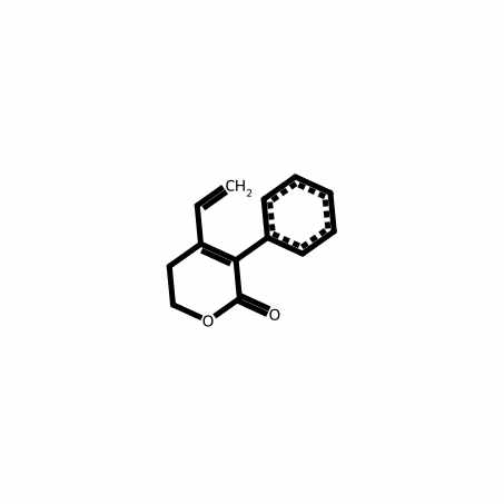 C=CC1=C(c2ccccc2)C(=O)OCC1